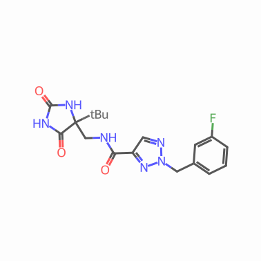 CC(C)(C)C1(CNC(=O)c2cnn(Cc3cccc(F)c3)n2)NC(=O)NC1=O